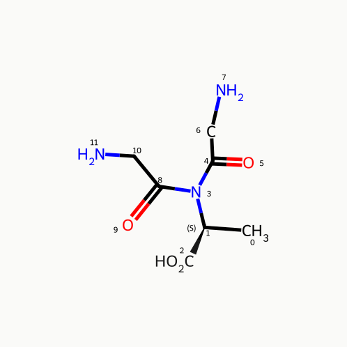 C[C@@H](C(=O)O)N(C(=O)CN)C(=O)CN